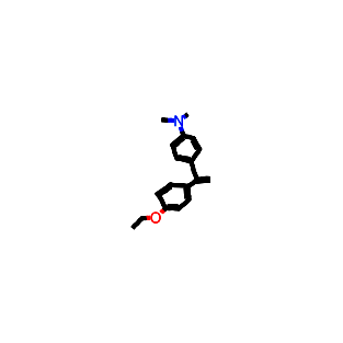 C=C(c1ccc(OCC)cc1)c1ccc(N(C)C)cc1